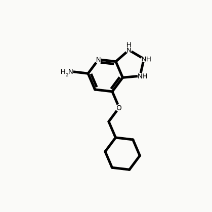 Nc1cc(OCC2CCCCC2)c2c(n1)NNN2